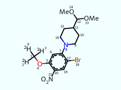 [2H]C([2H])([2H])Oc1cc(N2CCC(C(OC)OC)CC2)c(Br)cc1[N+](=O)[O-]